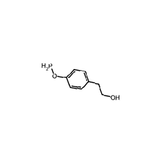 OCCc1ccc(OP)cc1